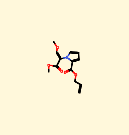 C=CCOC(=O)c1cccn1/C(=C\OC)C(=O)OC